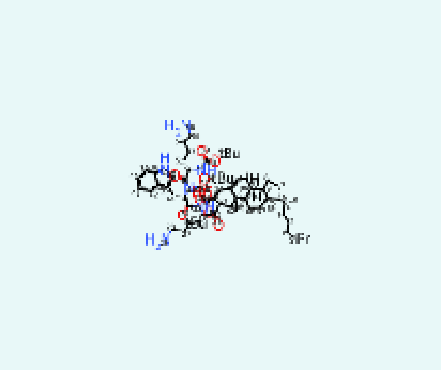 CC(C)CCC[C@@H](C)[C@H]1CC[C@H]2[C@@H]3CC=C4CC(O)(C(=O)OC(C)(C)C)C(C(=O)[C@H](CCCCN)NC(=O)[C@H](Cc5c[nH]c6ccccc56)N(C(=O)OC(C)(C)C)C(=O)[C@H](CCCCN)NC(=O)OC(C)(C)C)C[C@]4(C)[C@H]3CC[C@]12C